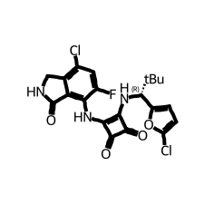 CC(C)(C)[C@@H](Nc1c(Nc2c(F)cc(Cl)c3c2C(=O)NC3)c(=O)c1=O)c1ccc(Cl)o1